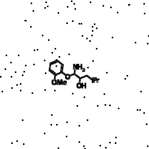 COc1ccccc1OC(N)C(O)CC(C)C